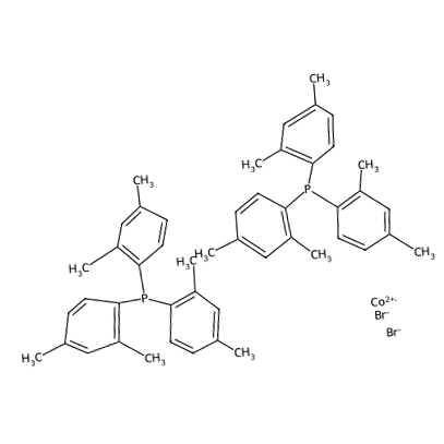 Cc1ccc(P(c2ccc(C)cc2C)c2ccc(C)cc2C)c(C)c1.Cc1ccc(P(c2ccc(C)cc2C)c2ccc(C)cc2C)c(C)c1.[Br-].[Br-].[Co+2]